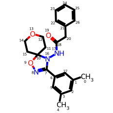 Cc1cc(C)cc(C2=NOC3(CCOCC3)N2NC(=O)Cc2ccccc2)c1